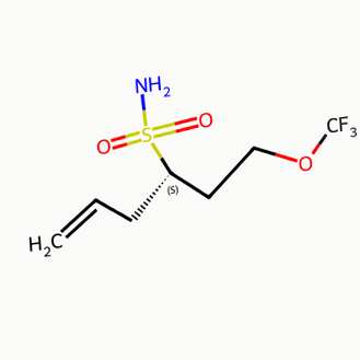 C=CC[C@@H](CCOC(F)(F)F)S(N)(=O)=O